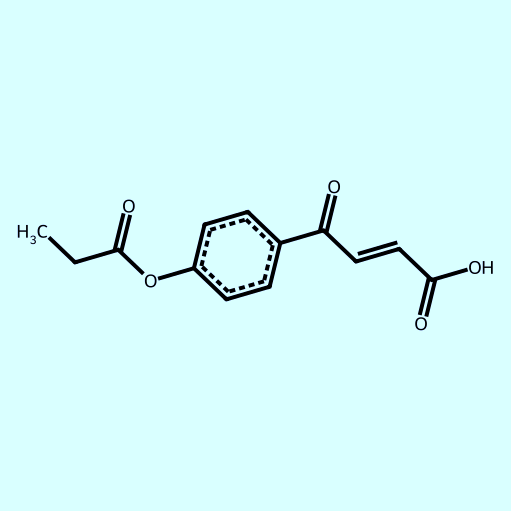 CCC(=O)Oc1ccc(C(=O)/C=C/C(=O)O)cc1